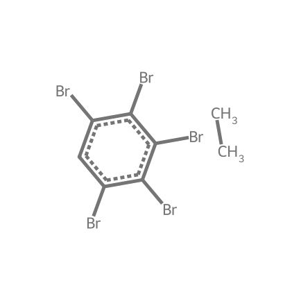 Brc1cc(Br)c(Br)c(Br)c1Br.CC